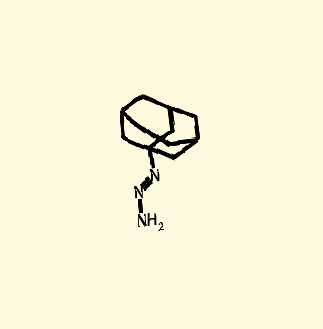 NN=NC12CC3CC(CC(C3)C1)C2